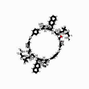 CN[C@@H](C)C(=O)N[C@H](C(=O)N1C[C@@H]2C[C@H]1C(=O)N[C@@H](Cc1ccc3ccccc3c1)C(=O)N[C@H](C(=O)O)Cc1ccc(cc1)OCc1cn(nn1)[C@H]1C[C@@H](C(=O)N[C@@H](Cc3ccc4ccccc4c3)C(=O)N[C@H](c3nnn[nH]3)Cc3ccc(cc3)OCc3cn2nn3)N(C(=O)[C@@H](NC(=O)[C@H](C)NC)C(C)(C)C)C1)C(C)(C)C